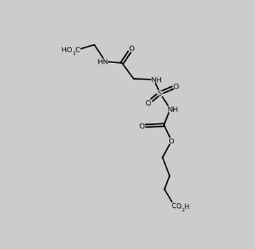 O=C(O)CCCOC(=O)NS(=O)(=O)NCC(=O)NCC(=O)O